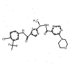 C[C@@H](NC(=O)c1cc(N2CCOCC2)ncn1)c1ncc(C(=O)Nc2ccc(Cl)c(C(F)(F)F)c2)s1